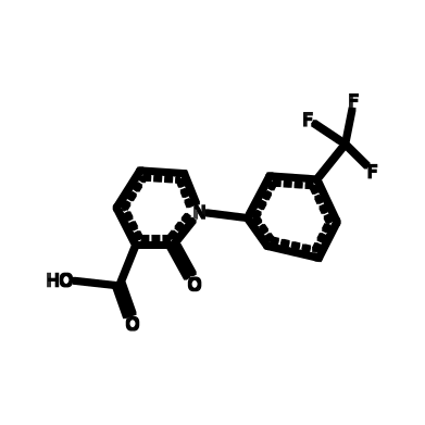 O=C(O)c1cccn(-c2cccc(C(F)(F)F)c2)c1=O